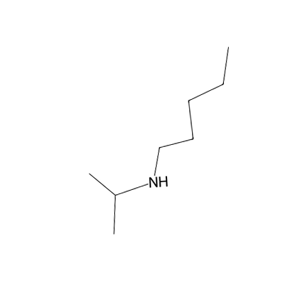 CCCCCNC(C)C